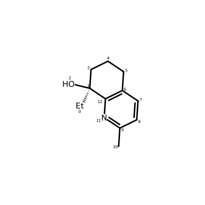 CC[C@]1(O)CCCc2ccc(C)nc21